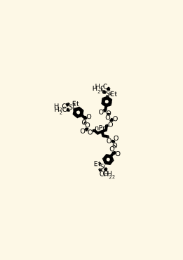 C=C[Si](C=C)(CC)c1ccc(C(=O)OOC(=O)OCCC(CCC)(CCOC(=O)OOC(=O)c2ccc([Si](C=C)(C=C)CC)cc2)CCOC(=O)OOC(=O)c2ccc([Si](C=C)(C=C)CC)cc2)cc1